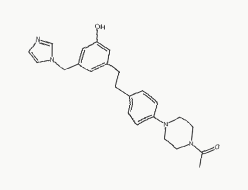 CC(=O)N1CCN(c2ccc(CCc3cc(O)cc(Cn4ccnc4)c3)cc2)CC1